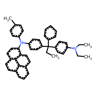 CCN(CC)c1ccc(C(CC)(c2ccccc2)c2ccc(N(c3ccc(C)cc3)c3ccc4ccc5cccc6ccc3c4c56)cc2)cc1